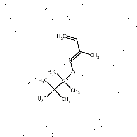 C=CC(C)=NO[Si](C)(C)C(C)(C)C